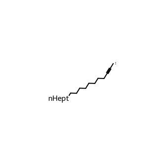 [CH]C#CCCCCCCCCCCCCCCC